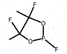 CC1(F)OP(F)OC1(C)F